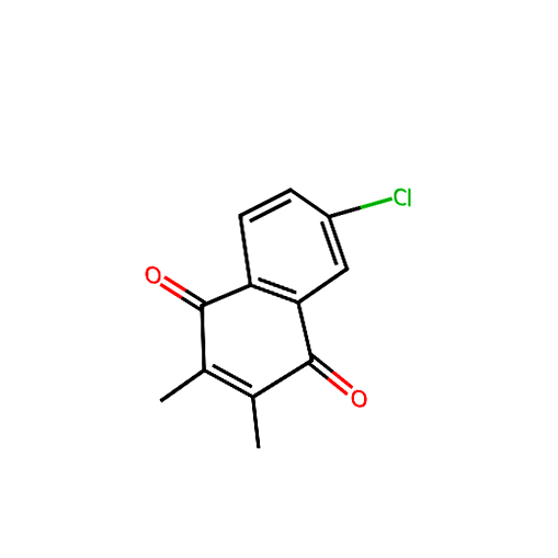 CC1=C(C)C(=O)c2cc(Cl)ccc2C1=O